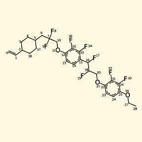 C=CC1CCC(CC(F)(F)COc2ccc(C(F)C(F)COc3ccc(OCC)c(F)c3F)c(F)c2F)CC1